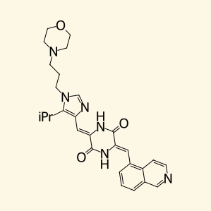 CC(C)c1c(/C=c2\[nH]c(=O)/c(=C/c3cccc4cnccc34)[nH]c2=O)ncn1CCCN1CCOCC1